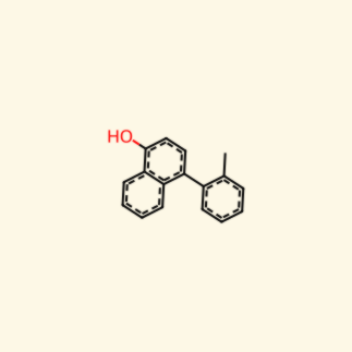 Cc1ccccc1-c1ccc(O)c2ccccc12